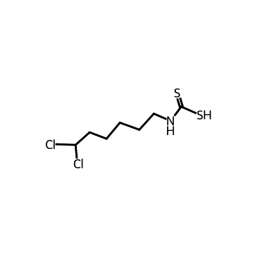 S=C(S)NCCCCCC(Cl)Cl